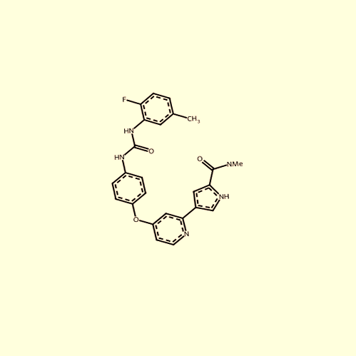 CNC(=O)c1cc(-c2cc(Oc3ccc(NC(=O)Nc4cc(C)ccc4F)cc3)ccn2)c[nH]1